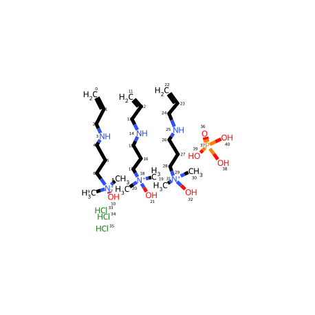 C=CCNCCC[N+](C)(C)O.C=CCNCCC[N+](C)(C)O.C=CCNCCC[N+](C)(C)O.Cl.Cl.Cl.O=P(O)(O)O